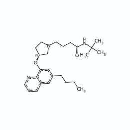 CCCCc1cc(O[C@H]2CCN(CCCC(=O)NC(C)(C)C)C2)c2ncccc2c1